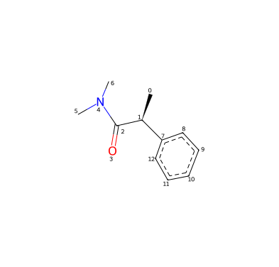 C[C@H](C(=O)N(C)C)c1ccccc1